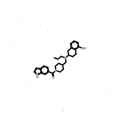 CCCN(CC1CCN(C(=O)c2ccc3cc[nH]c3c2)CC1)C1CCc2c(O)cccc2C1